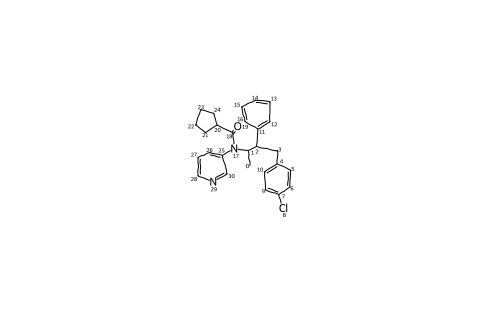 CC(C(Cc1ccc(Cl)cc1)c1ccccc1)N(C(=O)C1CCCC1)c1cccnc1